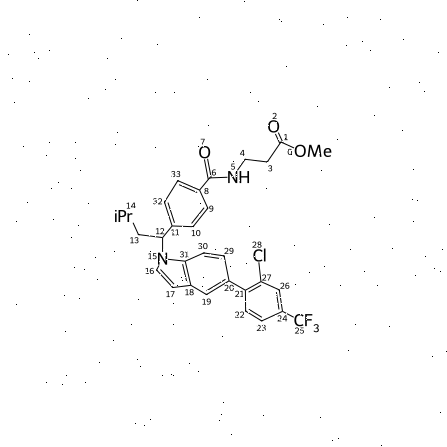 COC(=O)CCNC(=O)c1ccc(C(CC(C)C)n2ccc3cc(-c4ccc(C(F)(F)F)cc4Cl)ccc32)cc1